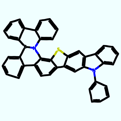 c1ccc(-n2c3ccccc3c3cc4sc5c6c(ccc5c4cc32)-c2ccccc2B2c3ccccc3-c3ccccc3N26)cc1